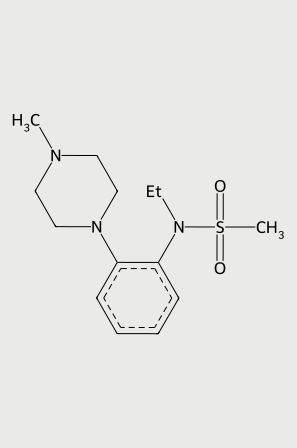 CCN(c1ccccc1N1CCN(C)CC1)S(C)(=O)=O